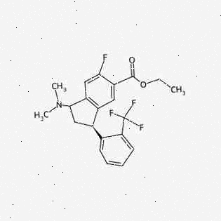 CCOC(=O)c1cc2c(cc1F)C(N(C)C)C[C@@H]2c1ccccc1C(F)(F)F